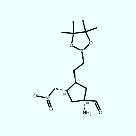 CC1(C)OB(CC[C@H]2C[C@@](N)(C=O)C[C@@H]2C[N+](=O)[O-])OC1(C)C